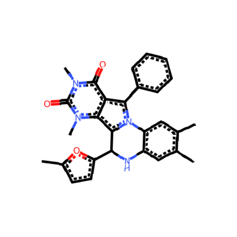 Cc1ccc(C2Nc3cc(C)c(C)cc3-n3c(-c4ccccc4)c4c(=O)n(C)c(=O)n(C)c4c32)o1